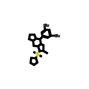 CC1CC2C(CC3CCCC3C2c2cc(C(C)(C)C)cc(C(C)(C)C)c2)C1S(C)(C)C1CCCC1